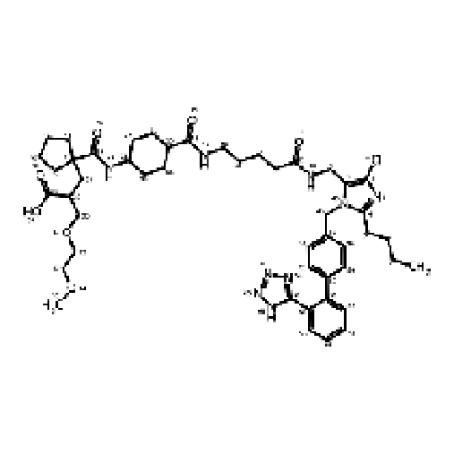 CCCCc1nc(Cl)c(CNC(=O)CCCCNC(=O)C2CCC(NC(=O)C3(CC(COCCOC)C(=O)O)CCCC3)CC2)n1Cc1ccc(-c2ccccc2-c2nnn[nH]2)cc1